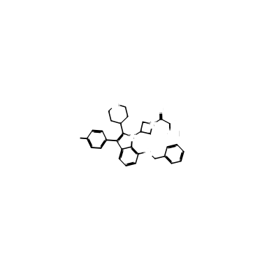 C[C@H](O)C(=O)N1CC(n2c(C3CCOCC3)c(-c3ccc(F)cc3)c3cccc(OCc4ccccc4)c32)C1